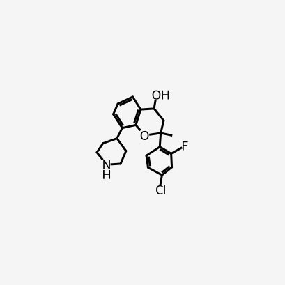 CC1(c2ccc(Cl)cc2F)CC(O)c2cccc(C3CCNCC3)c2O1